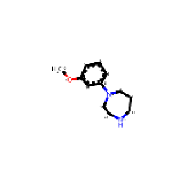 COc1cccc(N2CCCNCC2)c1